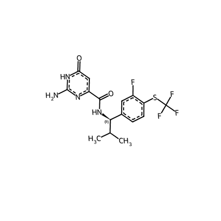 CC(C)[C@@H](NC(=O)c1cc(=O)[nH]c(N)n1)c1ccc(SC(F)(F)F)c(F)c1